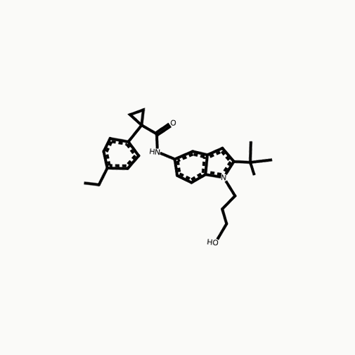 CCc1ccc(C2(C(=O)Nc3ccc4c(c3)cc(C(C)(C)C)n4CCCO)CC2)cc1